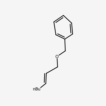 CCCCC=CCOCc1ccccc1